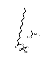 CCCCCCCCCCCC(=O)OS(=O)(=O)O.CCO.N